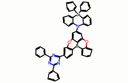 c1ccc(-c2nc(-c3ccccc3)nc(-c3ccc4c(c3)Oc3cc(N5c6ccccc6[Si](c6ccccc6)(c6ccccc6)c6ccccc65)cc5c3B4c3ccccc3O5)n2)cc1